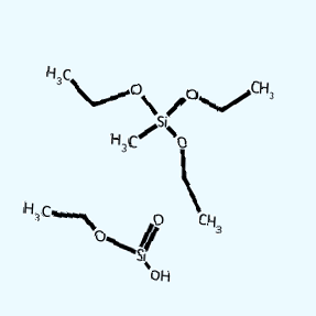 CCO[Si](=O)O.CCO[Si](C)(OCC)OCC